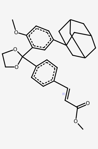 COC(=O)/C=C/c1ccc(C2(c3cc(C45CC6CC(CC(C6)C4)C5)ccc3OC)OCCO2)cc1